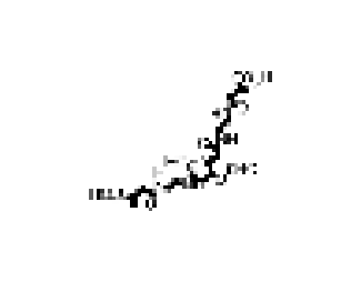 C=C(CC(=O)NCCNC(=O)CC(OC=O)C(CC(=O)NCCNC(=O)CC(=C)C(=O)O)C(=O)O)C(=O)O